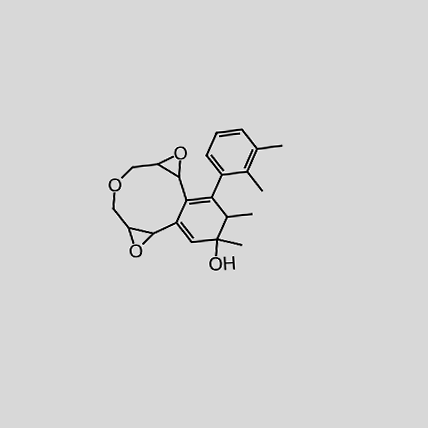 Cc1cccc(C2=C3C(=CC(C)(O)C2C)C2OC2COCC2OC32)c1C